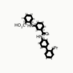 CC(C)c1ccccc1-c1ccc(NC(=O)c2cccc(Nc3ccccc3C(=O)O)c2)cc1